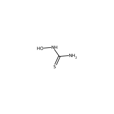 NC(=S)NO